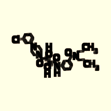 CCCN(CCC)C(=O)c1cccc(NC(=O)[C@H](O)[C@@H](O)C(=O)N2CCN(c3cccc(Cl)c3)CC2)c1